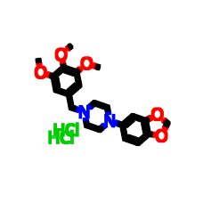 COc1cc(CN2CCN(c3ccc4c(c3)OCO4)CC2)cc(OC)c1OC.Cl.Cl